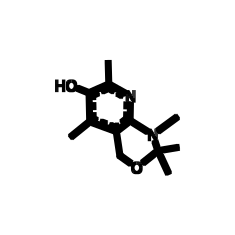 Cc1nc2c(c(C)c1O)COC(C)(C)N2C